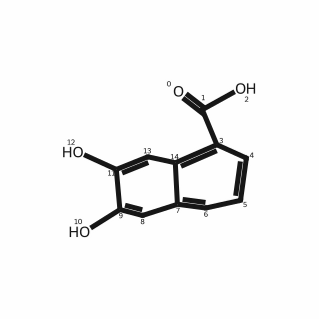 O=C(O)c1cccc2cc(O)c(O)cc12